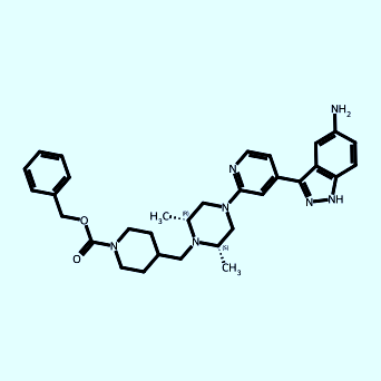 C[C@@H]1CN(c2cc(-c3n[nH]c4ccc(N)cc34)ccn2)C[C@H](C)N1CC1CCN(C(=O)OCc2ccccc2)CC1